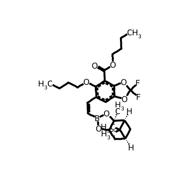 CCCCOC(=O)c1c(OCCCC)c(/C=C\B2OC3C[C@@H]4C[C@@H](C4(C)C)[C@]3(C)O2)cc2c1OC(F)(F)O2